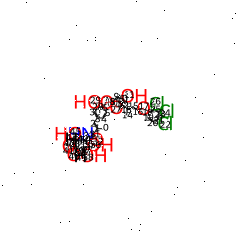 CC(=Cc1ccc(O[C@H]2C[C@H](O)[C@@H](C(C)=CCOc3ccc(Cl)c(Cl)c3Cl)O2)c(O)c1)C(=O)N[C@@H]1[C@H](O)[C@@H](O)[C@H]2OCO[C@H]2[C@@H]1O